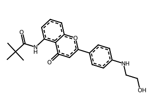 CC(C)(C)C(=O)Nc1cccc2oc(-c3ccc(NCCO)cc3)cc(=O)c12